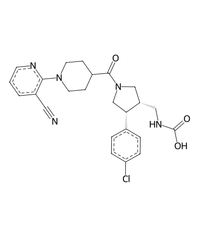 N#Cc1cccnc1N1CCC(C(=O)N2C[C@H](CNC(=O)O)[C@H](c3ccc(Cl)cc3)C2)CC1